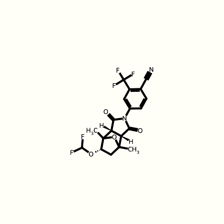 CC12C[C@H](OC(F)F)C(C)(O1)[C@@H]1C(=O)N(c3ccc(C#N)c(C(F)(F)F)c3)C(=O)[C@@H]12